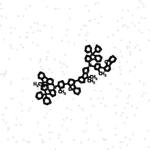 Cc1cc(N(c2ccc3c(c2)C(C)(C)c2ccc(-c4ccc(-c5ccc(N(c6ccc7c(c6)C(C)(C)c6ccccc6-7)c6cccc7c6-c6ccccc6C7(c6ccccc6)c6ccccc6)c(C)c5)c5oc6ccccc6c45)cc2-3)c2cccc3c2-c2ccccc2C3(c2ccccc2)c2ccccc2)ccc1-c1cccc2c1oc1ccccc12